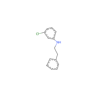 Clc1cccc(NCCc2ccccc2)c1